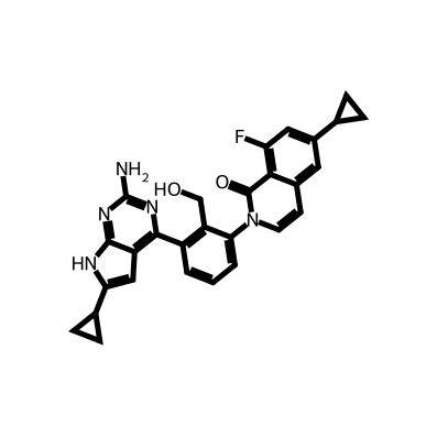 Nc1nc(-c2cccc(-n3ccc4cc(C5CC5)cc(F)c4c3=O)c2CO)c2cc(C3CC3)[nH]c2n1